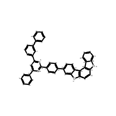 c1ccc(-c2cccc(-c3cc(-c4ccccc4)nc(-c4ccc(-c5ccc6c(c5)oc5ccc7oc8ccccc8c7c56)cc4)n3)c2)cc1